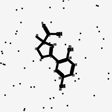 CC1(C(=O)O)CSC(c2cc(O)ccc2O)=N1